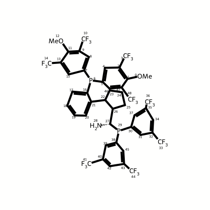 COc1c(C(F)(F)F)cc(P(c2cc(C(F)(F)F)c(OC)c(C(F)(F)F)c2)c2ccccc2C2CCCC2[C@@H](N)P(c2cc(C(F)(F)F)cc(C(F)(F)F)c2)c2cc(C(F)(F)F)cc(C(F)(F)F)c2)cc1C(F)(F)F